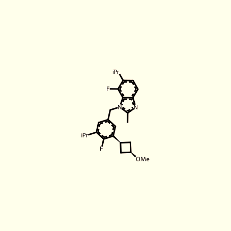 CO[C@H]1C[C@@H](c2cc(Cn3c(C)nc4ccc(C(C)C)c(F)c43)cc(C(C)C)c2F)C1